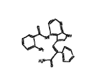 NC(=O)/C(=C/c1c[nH]c2nccc(NC(=O)c3ccccc3N)c12)c1ccccc1